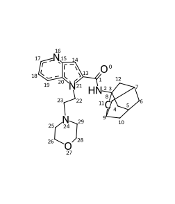 O=C(NC12CC3CC(CC(C3)C1)C2)c1cc2ncccc2n1CCN1CCOCC1